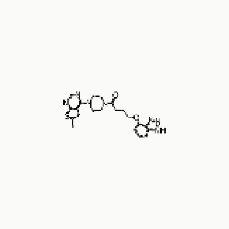 Cc1cc2c(N3CCN(C(=O)CCCOc4cccc5[nH]nnc45)CC3)ncnc2s1